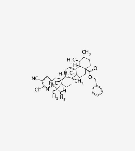 C[C@H]1[C@H](C)CC[C@]2(C(=O)OCc3ccccc3)CC[C@]3(C)C(=CC[C@@H]4[C@@]5(C)Cc6cc(C#N)c(Cl)nc6C(C)(C)[C@@H]5CC[C@]43C)[C@H]12